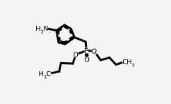 CCCCOP(=O)(Cc1ccc(N)cc1)OCCCC